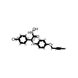 CC#CCOc1ccc(SC(C(=O)NO)c2ccc(Cl)cc2)cc1